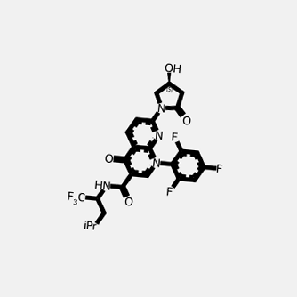 CC(C)CC(NC(=O)c1cn(-c2c(F)cc(F)cc2F)c2nc(N3C[C@@H](O)CC3=O)ccc2c1=O)C(F)(F)F